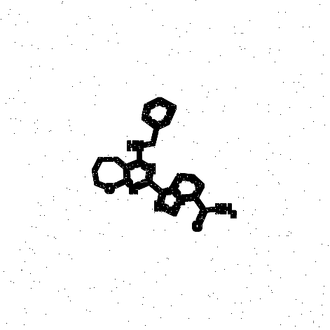 NC(=O)c1cccc2c(-c3nc(NCc4ccccc4)c4c(n3)OCCCC4)ncn12